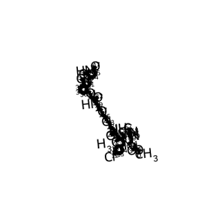 COC(=O)C[C@H]1N=C(c2ccc(Cl)cc2)c2c(sc(C(=O)NCCOCCOCCNC(=O)COc3cccc4c3CN(C3CCC(=O)NC3=O)C4=O)c2C)-n2c(C)nnc21